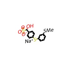 CSc1cccc(Sc2ccc(C(O)S(=O)(=O)[O-])cc2)c1.[Na+]